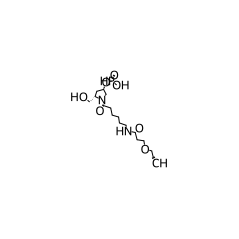 C#CCOCCC(=O)NCCCCCC(=O)N1C[C@H](O[PH](=O)O)C[C@H]1CO